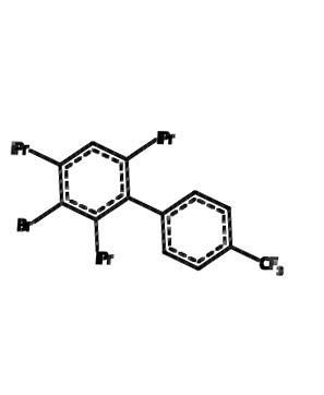 CC(C)c1cc(C(C)C)c(-c2ccc(C(F)(F)F)cc2)c(C(C)C)c1Br